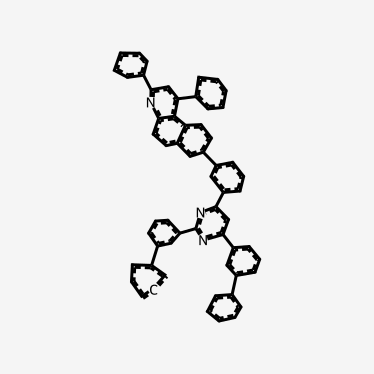 c1ccc(-c2cccc(-c3cc(-c4cccc(-c5ccc6c(ccc7nc(-c8ccccc8)cc(-c8ccccc8)c76)c5)c4)nc(-c4cccc(-c5ccccc5)c4)n3)c2)cc1